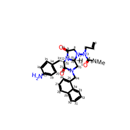 C=CCN(C(=O)NC)N1CC(=O)N2[C@@H](Cc3ccc(N)cc3)C(=O)N(Cc3cccc4ccccc34)C[C@@H]21